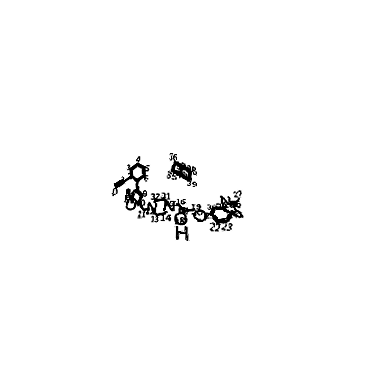 C#Cc1ccccc1-c1cc(CN2CCN(C[C@H](O)COc3ccc4sc(C)nc4c3)CC2)on1.c1cc2ccc1-2